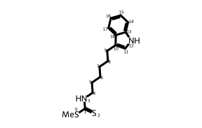 CSC(=S)NCCCCCCc1c[nH]c2ccccc12